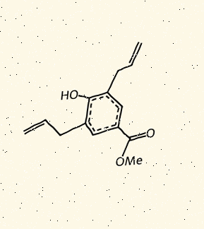 C=CCc1cc(C(=O)OC)cc(CC=C)c1O